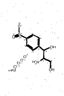 [Cl-].[Cl-].[Cl-].[Cl-].[NH3+]C(CO)C(O)c1ccc([N+](=O)[O-])cc1.[Pd]